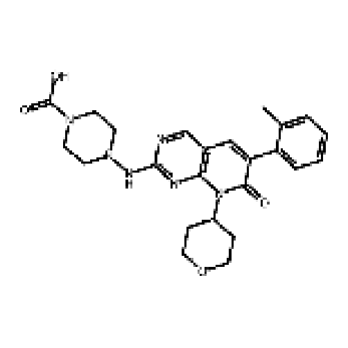 Cc1ccccc1-c1cc2cnc(NN3CCN(C(=O)O)CC3)nc2n(C2CCOCC2)c1=O